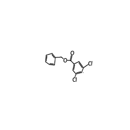 O=C(OCc1ccccc1)c1cc(Cl)[c]c(Cl)c1